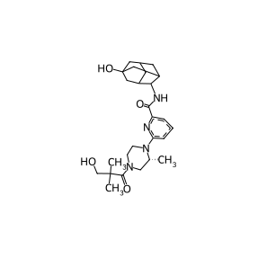 C[C@@H]1CN(C(=O)C(C)(C)CO)CCN1c1cccc(C(=O)NC2C3CC4CC2CC(O)(C4)C3)n1